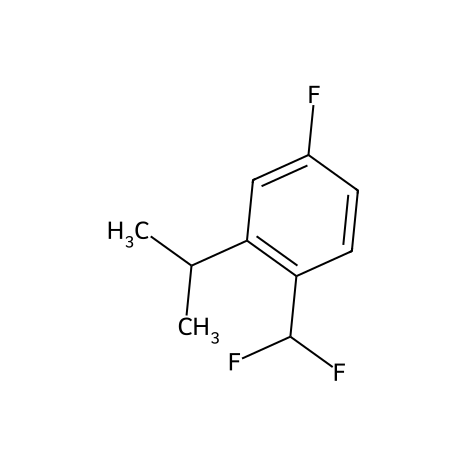 CC(C)c1cc(F)ccc1C(F)F